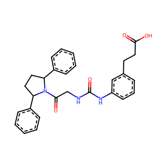 O=C(O)CCc1cccc(NC(=O)NCC(=O)N2C(c3ccccc3)CCC2c2ccccc2)c1